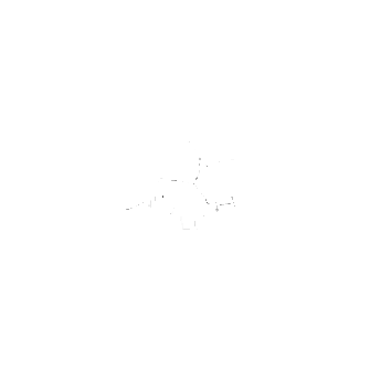 CCN(CC)C(C[SiH2]C)N(CC)CC